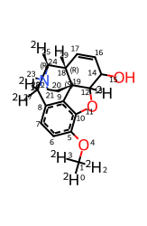 [2H]C([2H])([2H])Oc1ccc2c3c1OC1([2H])C(O)C=C[C@@H]4[C@@]31CCN(C)[C@]4([2H])C2([2H])[2H]